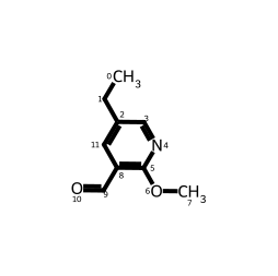 CCc1cnc(OC)c(C=O)c1